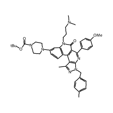 COc1ccc(-c2nc3c(c(C)nn3Cc3ccc(C)cc3)c3c2c(=O)n(CCCN(C)C)c2cc(N4CCN(C(=O)OC(C)(C)C)CC4)ccc32)cc1